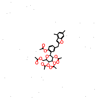 CC(=O)OCC1OC(c2cc(Cc3cc4c(C)cc(C)cc4o3)ccc2OC(C)=O)[C@H](OC(C)=O)C(OC(C)=O)[C@@H]1OC(C)=O